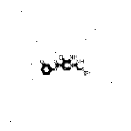 CC(C)SCC(=N)n1ccc(C(=O)OC2=CC(=O)CCC2)c(Cl)c1=N